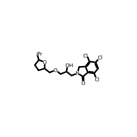 CC(C)C1CCC(COCC(O)CN2Cc3c(Cl)c(Cl)cc(Cl)c3C2=O)O1